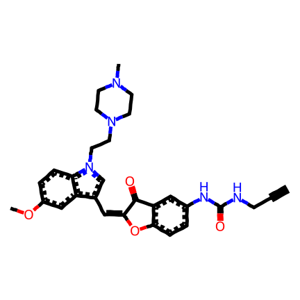 C#CCNC(=O)Nc1ccc2c(c1)C(=O)C(=Cc1cn(CCN3CCN(C)CC3)c3ccc(OC)cc13)O2